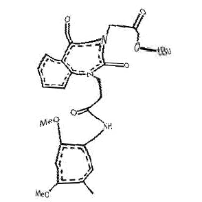 COc1cc(OC)c(NC(=O)Cn2c(=O)n(CC(=O)OC(C)(C)C)c(=O)c3ccccc32)cc1C